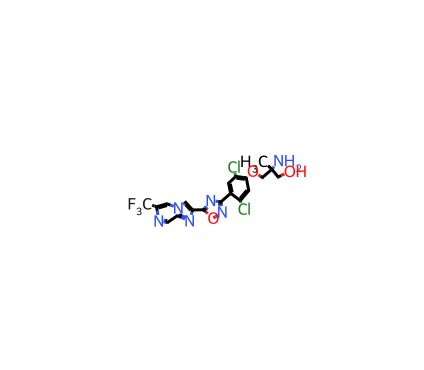 CC(N)(CO)COc1cc(Cl)c(-c2noc(-c3cn4cc(C(F)(F)F)ncc4n3)n2)cc1Cl